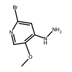 COc1cnc(Br)cc1NN